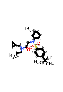 CCCN(CC1CC1)C(=O)CN(c1cccc(C)c1)S(=O)(=O)c1ccc(C(C)(C)C)cc1